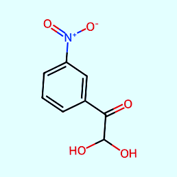 O=C(c1cccc([N+](=O)[O-])c1)C(O)O